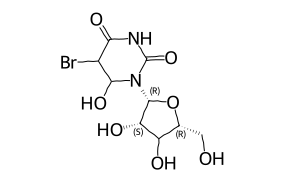 O=C1NC(=O)N([C@@H]2O[C@H](CO)C(O)[C@@H]2O)C(O)C1Br